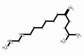 C=C(CCCCCCNCNC)CCC(C)C